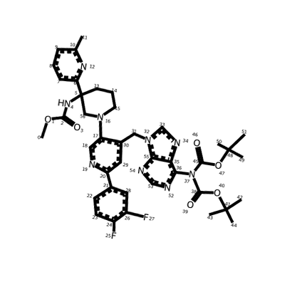 COC(=O)NC1(c2cccc(C)n2)CCCN(c2cnc(-c3ccc(F)c(F)c3)cc2Cn2cnc3c(N(C(=O)OC(C)(C)C)C(=O)OC(C)(C)C)ncnc32)C1